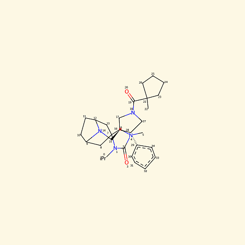 CC(C)N1C(=O)N(C)CC12CC1CCC(C2)N1C[C@H]1CN(C(=O)C2(C)CCCC2)C[C@@H]1c1ccccc1